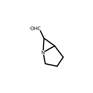 O=[C]C1C2CCCN12